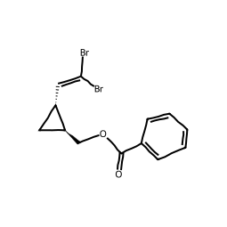 O=C(OC[C@H]1C[C@@H]1C=C(Br)Br)c1ccccc1